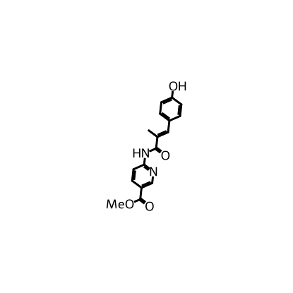 COC(=O)c1ccc(NC(=O)/C(C)=C/c2ccc(O)cc2)nc1